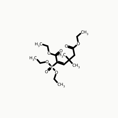 CCOC(=O)CC(C)(C)C=C(C(=O)OCC)P(=O)(OCC)OCC